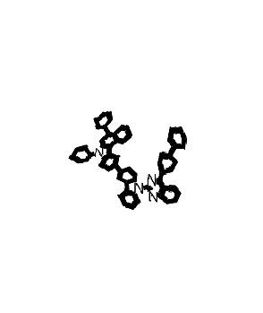 C1=CCCC(C2=CC=C(c3nc(N4c5ccccc5C5C=C(c6ccc7c(c6)c6c8ccccc8c(C8C=CC=CC8)cc6n7C6C=CC=CC6)C=CC54)nc4ccccc34)CC2)=C1